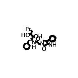 CC(C)C[C@H](O)[C@H](O)[C@H](CC1CCCCC1)NC(=O)CN1Cc2c([nH]c3ccccc23)C1=O